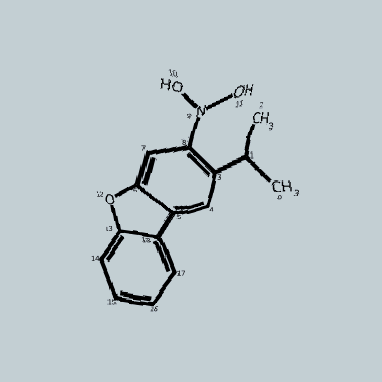 CC(C)c1cc2c(cc1N(O)O)oc1ccccc12